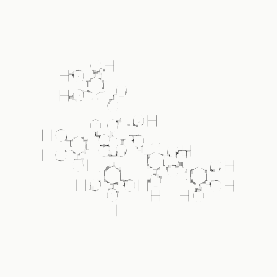 O=C(OCC1OC(OC(=O)c2cc(O)c(O)c(O)c2)C(OC(=O)c2cc(O)c(O)c(O)c2)C(OCc2cc(O)c(OC(=O)c3cc(O)c(O)c(O)c3)c(O)c2)C1O)c1cc(O)c(O)c(O)c1